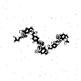 CC(=O)N1CCc2cc(Br)c(S(=O)(=O)NC3CCC(CC(=O)N4CCc5cc(Br)c(S(=O)(=O)NCc6ccc(CC(=O)N7CCc8cc(Cl)c(S(=O)(=O)NCCC(C)C)cc87)cc6)cc54)C3)cc21